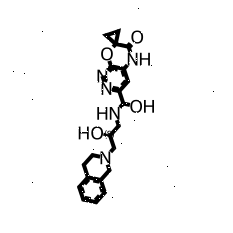 O=C1Nc2cc(C(O)NC[C@H](O)CN3CCc4ccccc4C3)nnc2OC12CC2